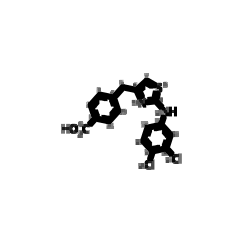 O=C(O)c1ccc(Cc2csc(Nc3ccc(Cl)c(Cl)c3)n2)cc1